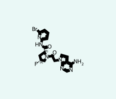 Nc1ncnc2c1ccn2CC(=O)N1C[C@H](F)C[C@@H]1C(=O)Nc1cccc(Br)n1